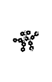 c1ccc(-c2ccc3c(c2)c2cc(-c4ccccc4)ccc2n3-c2cc(N(c3ccc(-c4ccncc4)cc3)c3ccc(-c4ccncc4)cc3)cc(N3c4ccccc4Oc4ccccc43)n2)cc1